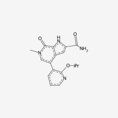 CC(C)Oc1ncccc1-c1cn(C)c(=O)c2[nH]c(C(N)=O)cc12